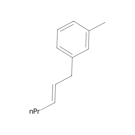 CCCC=CCc1cccc(C)c1